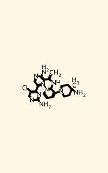 C=C(Nc1ncccc1N1CCC(C)(N)CC1)c1nc(-c2nc(N)ncc2Cl)cnc1N